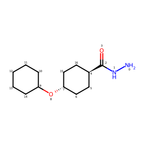 NNC(=O)[C@H]1CC[C@H](OC2CCCCC2)CC1